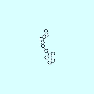 c1ccc2c(-c3c4ccccc4c(-c4ccc(-c5ccc6cc7oc8cc9c(cc8c7cc6c5)sc5ccccc59)cc4)c4ccccc34)cccc2c1